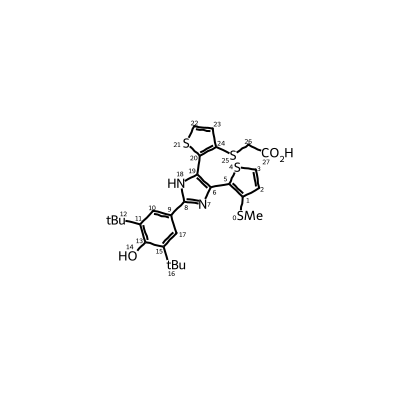 CSc1ccsc1-c1nc(-c2cc(C(C)(C)C)c(O)c(C(C)(C)C)c2)[nH]c1-c1sccc1SCC(=O)O